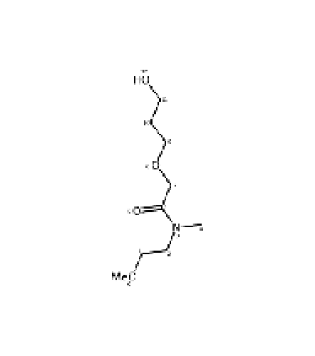 COCCN(C)C(=O)COCCCO